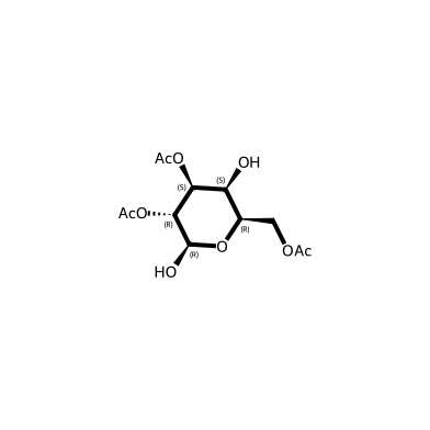 CC(=O)OC[C@H]1O[C@@H](O)[C@H](OC(C)=O)[C@@H](OC(C)=O)[C@H]1O